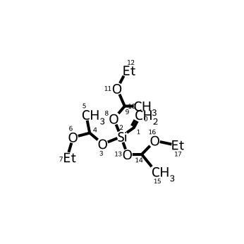 C=C[Si](OC(C)OCC)(OC(C)OCC)OC(C)OCC